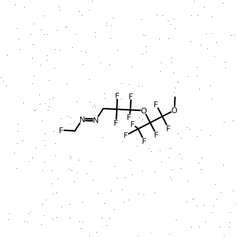 COC(F)(F)C(F)(OC(F)(F)C(F)(F)CN=NCF)C(F)(F)F